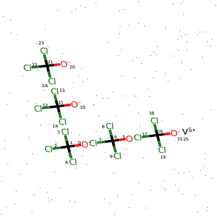 [O-]C(Cl)(Cl)Cl.[O-]C(Cl)(Cl)Cl.[O-]C(Cl)(Cl)Cl.[O-]C(Cl)(Cl)Cl.[O-]C(Cl)(Cl)Cl.[V+5]